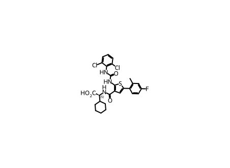 Cc1cc(F)ccc1-c1cc(C(=O)N[C@H](C(=O)O)C2CCCCC2)c(NC(=O)Nc2c(Cl)cccc2Cl)s1